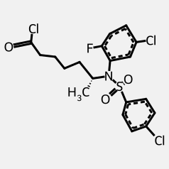 C[C@H](CCCCC(=O)Cl)N(c1cc(Cl)ccc1F)S(=O)(=O)c1ccc(Cl)cc1